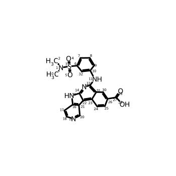 CN(C)S(=O)(=O)c1cccc(Nc2nc3[nH]c4ccncc4c3c3ccc(C(=O)O)cc23)c1